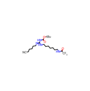 CC(C)(C)OC(=O)N/C(=N/CCCCCC#N)NCCCCCCCNC(=O)C(F)(F)F